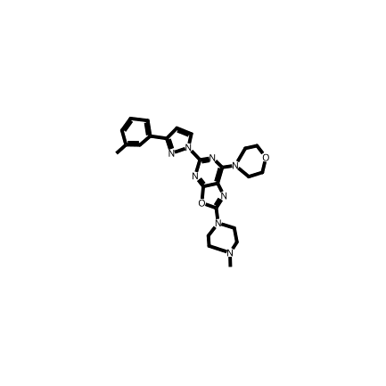 Cc1cccc(-c2ccn(-c3nc(N4CCOCC4)c4nc(N5CCN(C)CC5)oc4n3)n2)c1